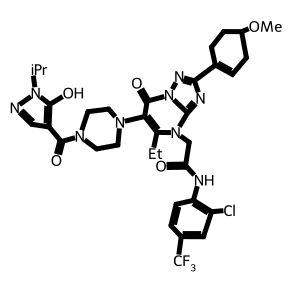 CCc1c(N2CCN(C(=O)c3cnn(C(C)C)c3O)CC2)c(=O)n2nc(C3=CCC(OC)CC3)nc2n1CC(=O)Nc1ccc(C(F)(F)F)cc1Cl